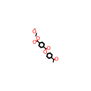 COCCOC(=O)c1ccc(C(=O)Oc2ccc(C(C)=O)cc2)cc1